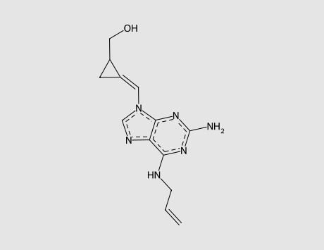 C=CCNc1nc(N)nc2c1ncn2C=C1CC1CO